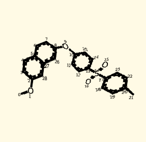 COc1ccc2ccc(Oc3ccc(S(=O)(=O)c4ccc(C)cc4)cc3)cc2c1